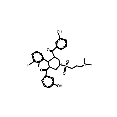 Cc1c(F)cccc1C1C(C(=O)c2cccc(O)c2)CN(S(=O)(=O)CCCN(C)C)CC1C(=O)c1cccc(O)c1